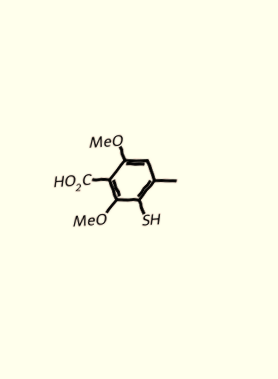 COc1cc(C)c(S)c(OC)c1C(=O)O